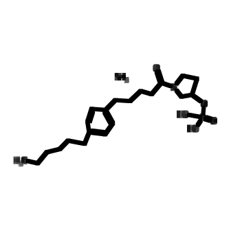 CCCCCCc1ccc(CCCCC(=O)N2CCC(OP(=O)(O)O)C2)cc1.N